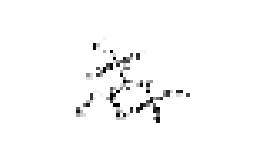 CCO[PH](=O)C(OS(=O)(=O)OC)S(C)(=O)=O